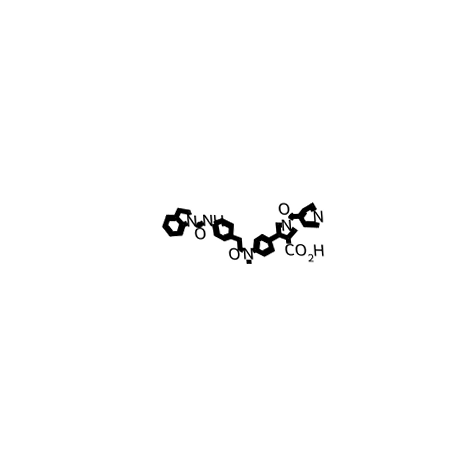 CN(C(=O)Cc1ccc(NC(=O)N2CCc3ccccc32)cc1)c1ccc(C2CN(C(=O)c3ccncc3)CC2C(=O)O)cc1